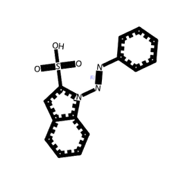 O=S(=O)(O)c1cc2ccccc2n1/N=N/c1ccccc1